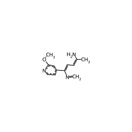 C=N/C(=C\C=C(\C)N)c1ccnc(OC)c1